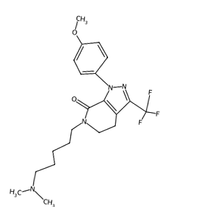 COc1ccc(-n2nc(C(F)(F)F)c3c2C(=O)N(CCCCCN(C)C)CC3)cc1